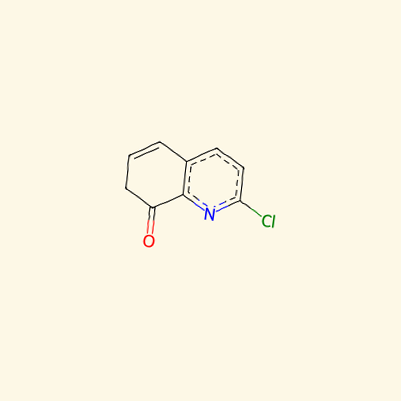 O=C1CC=Cc2ccc(Cl)nc21